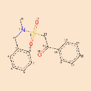 CN(Cc1ccccc1)S(=O)(=O)CC(=O)c1ccccc1